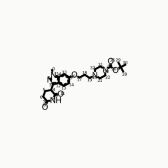 Cn1nc(C2CCC(=O)NC2=O)c2ccc(OCCCN3CCN(C(=O)OC(C)(C)C)CC3)cc21